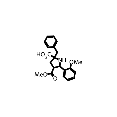 COC(=O)C1CC(Cc2ccccc2)(C(=O)O)NC1c1ccccc1OC